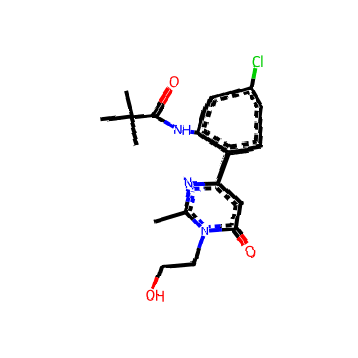 Cc1nc(-c2ccc(Cl)cc2NC(=O)C(C)(C)C)cc(=O)n1CCO